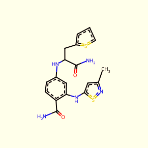 Cc1cc(Nc2cc(NC(Cc3cccs3)C(N)=O)ccc2C(N)=O)sn1